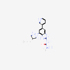 CCNC(=O)Nc1nc2cc(-c3cccnc3)cc(N3CC(C(=O)O)C=N3)c2[nH]1